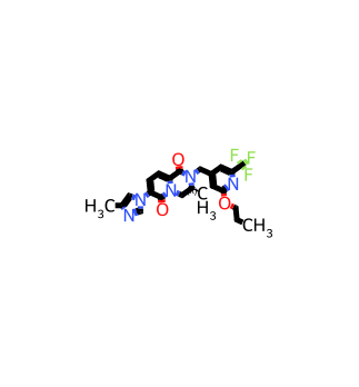 CCCOc1cc(CN2C(=O)c3ccc(-n4cnc(C)c4)c(=O)n3C[C@H]2C)cc(C(F)(F)F)n1